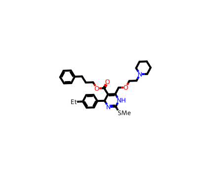 CCc1ccc(C2N=C(SC)NC(COCCN3CCCCC3)=C2C(=O)OCCCc2ccccc2)cc1